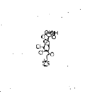 CC1(CCC(=O)c2cc3c(c(Cl)c2Cl)OC(C(C(=O)O)C(=O)O)C3)SCCS1